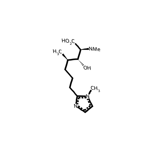 CN[C@H](C(=O)O)[C@H](O)[C@H](C)CCCc1nccn1C